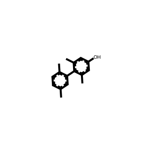 Cc1ccc(C)c(-c2c(C)cc(O)cc2C)c1